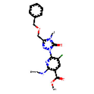 CCCC(C)Nc1nc(-n2nc(COCc3ccccc3)n(CC)c2=O)c(F)cc1C(=O)OC(C)C